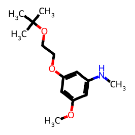 CNc1cc(OC)cc(OCCOC(C)(C)C)c1